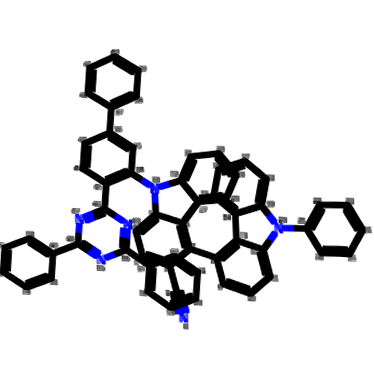 N#Cc1ccc2c(c1-c1cccc3c1c1ccccc1n3-c1ccccc1)c1ccccc1n2-c1cc(-c2ccccc2)ccc1-c1nc(-c2ccccc2)nc(-c2ccccc2)n1